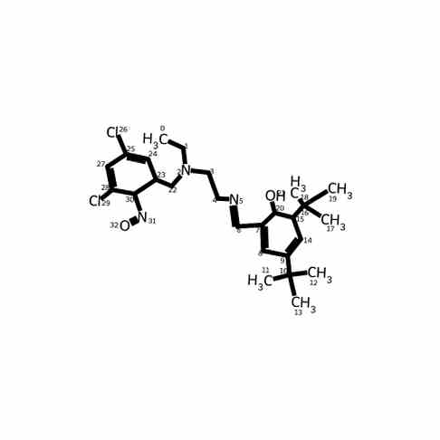 CCN(CC/N=C/C1=CC(C(C)(C)C)=CC(C(C)(C)C)C1O)CC1C=C(Cl)C=C(Cl)C1N=O